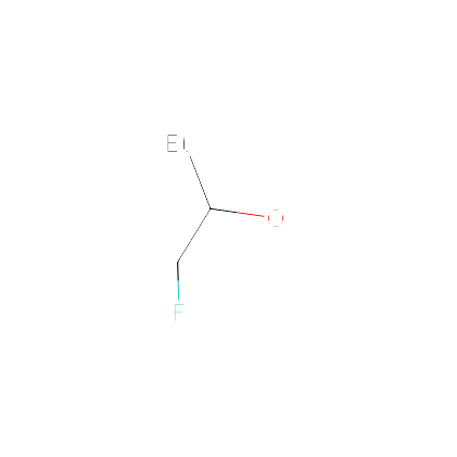 CCC([O])CF